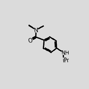 CC(C)Nc1ccc(C(=O)N(C)C)cc1